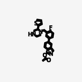 CC(=O)On1ncc2cc(-c3ccc(F)c(CN4CCNCC4c4cccs4)c3)ccc21